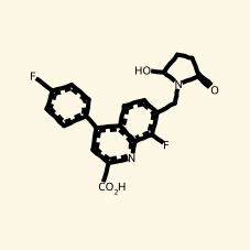 O=C(O)c1cc(-c2ccc(F)cc2)c2ccc(CN3C(=O)CCC3O)c(F)c2n1